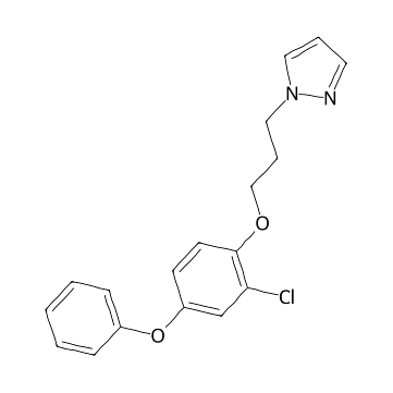 Clc1cc(Oc2ccccc2)ccc1OCCCn1cccn1